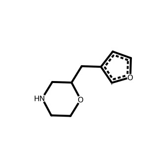 [c]1occc1CC1CNCCO1